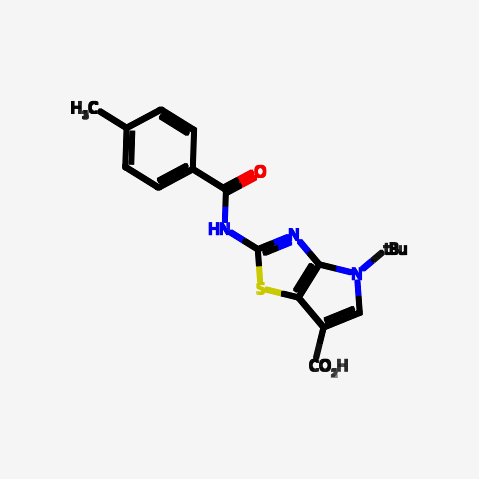 Cc1ccc(C(=O)Nc2nc3c(s2)c(C(=O)O)cn3C(C)(C)C)cc1